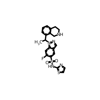 CC(c1cccc2c1CNCC2)n1ncc2cc(S(=O)(=O)Nc3nccs3)c(F)cc21